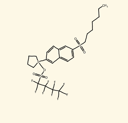 CCCCCCCS(=O)(=O)c1ccc2cc(S3(OS(=O)(=O)C(F)(F)C(F)(F)C(F)(F)C(F)(F)F)CCCC3)ccc2c1